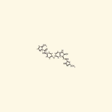 Cc1cc(N/C=C2\C(=O)Nc3ccc(Cc4ccc(NC(=O)c5nccn5C)cc4)cc32)[nH]n1